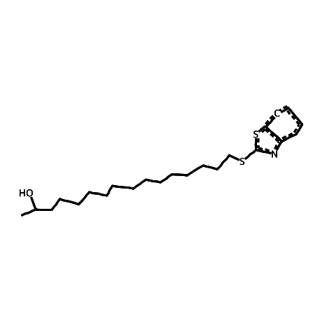 CC(O)CCCCCCCCCCCCCCSc1nc2ccccc2s1